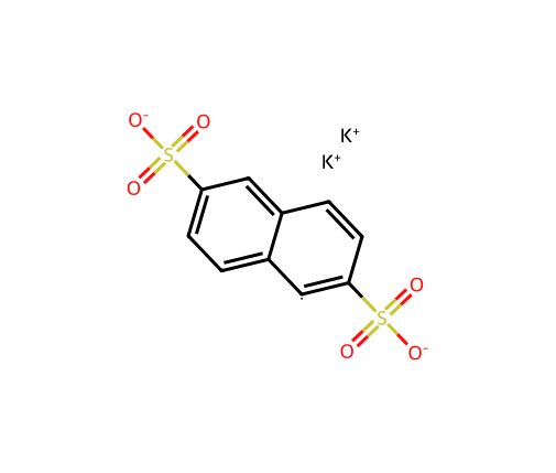 O=S(=O)([O-])c1[c]c2ccc(S(=O)(=O)[O-])cc2cc1.[K+].[K+]